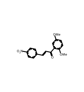 COc1ccc(OC)c(C(=O)/C=C/c2ccc([N+](=O)[O-])cc2)c1